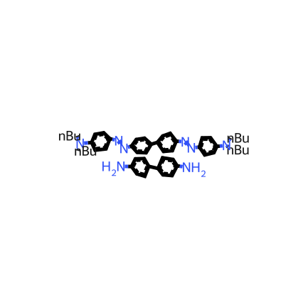 CCCCN(CCCC)c1ccc(N=Nc2ccc(-c3ccc(N=Nc4ccc(N(CCCC)CCCC)cc4)cc3)cc2)cc1.Nc1ccc(-c2ccc(N)cc2)cc1